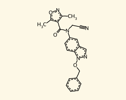 Cc1noc(C)c1C(=O)N(CC#N)c1ccc2c(cnn2OCc2ccccc2)c1